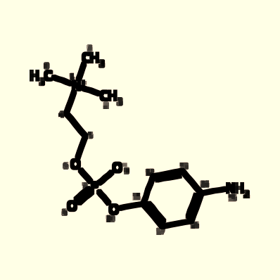 C[N+](C)(C)CCOP(=O)([O-])Oc1ccc(N)cc1